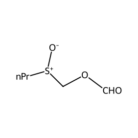 CCC[S+]([O-])COC=O